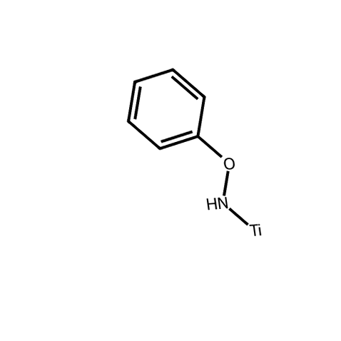 [Ti][NH]Oc1ccccc1